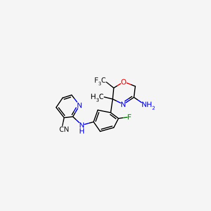 CC1(c2cc(Nc3ncccc3C#N)ccc2F)N=C(N)COC1C(F)(F)F